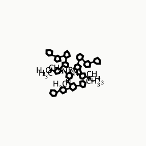 CN(c1cc2c3c(c1)-n1c4ccc(C(C)(C)C)cc4c4cc(-c5ccccc5-c5cccc(-c6ccccc6)c5)cc(c41)B3c1cc(-c3ccccc3-c3cccc(-c4ccccc4)c3)cc3c4cc(C(C)(C)C)ccc4n-2c13)c1cc(-c2ccccc2)ccc1-c1ccc(-c2ccccc2)cc1